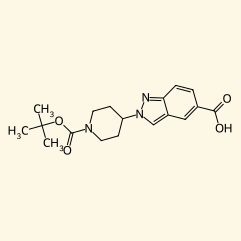 CC(C)(C)OC(=O)N1CCC(n2cc3cc(C(=O)O)ccc3n2)CC1